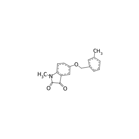 Cc1cccc(COc2ccc3c(c2)C(=O)C(=O)N3C)c1